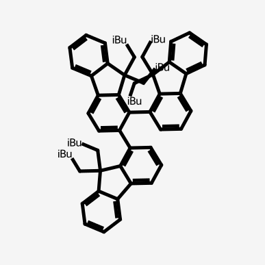 CCC(C)CC1(CC(C)CC)c2ccccc2-c2cccc(-c3ccc4c(c3-c3cccc5c3C(CC(C)CC)(CC(C)CC)c3ccccc3-5)C(CC(C)CC)(CC(C)CC)c3ccccc3-4)c21